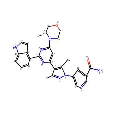 Cc1nn(-c2cncc(C(N)=O)c2)c(C)c1-c1cc(N2CCOC[C@H]2C)nc(-c2cccc3[nH]ccc23)n1